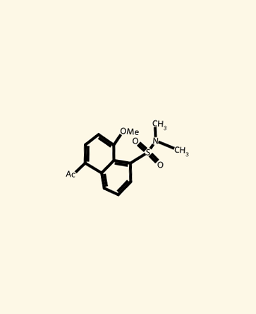 COc1ccc(C(C)=O)c2cccc(S(=O)(=O)N(C)C)c12